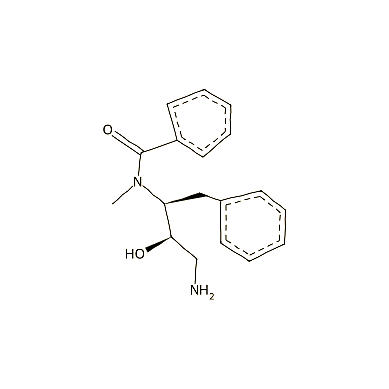 CN(C(=O)c1ccccc1)[C@@H](Cc1ccccc1)[C@H](O)CN